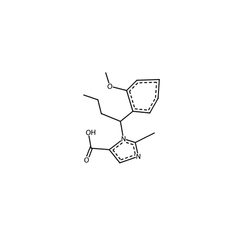 CCCC(c1ccccc1OC)n1c(C(=O)O)cnc1C